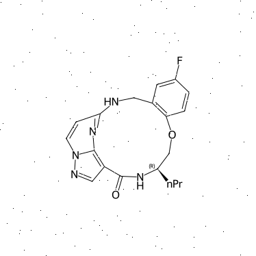 CCC[C@@H]1COc2ccc(F)cc2CNc2ccn3ncc(c3n2)C(=O)N1